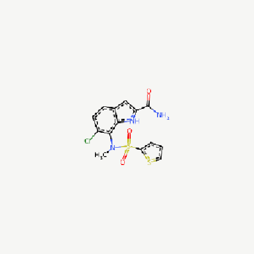 CN(c1c(Cl)ccc2cc(C(N)=O)[nH]c12)S(=O)(=O)c1cccs1